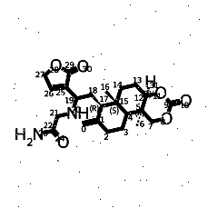 C=C1CCC2[C@]3(C)COC(=O)O[C@@H]3CC[C@@]2(C)[C@@H]1CC(NCC(N)=O)C1=CCOC1=O